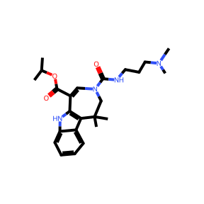 CC(C)OC(=O)C1=CN(C(=O)NCCCN(C)C)CC(C)(C)c2c1[nH]c1ccccc21